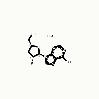 O.OC[C@@H]1C[C@@H](F)[C@H](n2cnc3c(O)ncnc32)O1